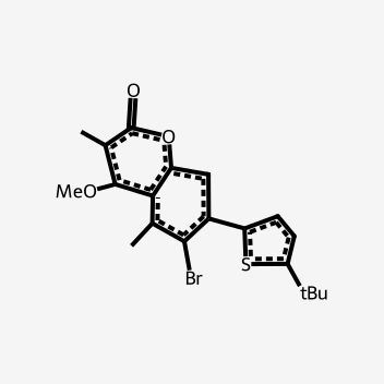 COc1c(C)c(=O)oc2cc(-c3ccc(C(C)(C)C)s3)c(Br)c(C)c12